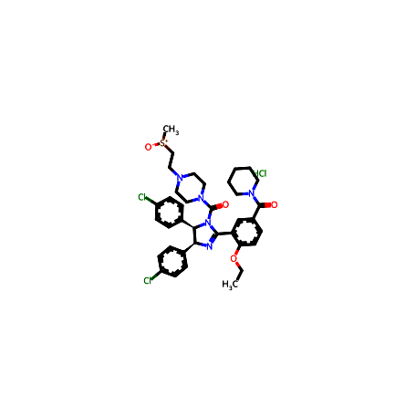 CCOc1ccc(C(=O)N2CCCCC2)cc1C1=N[C@@H](c2ccc(Cl)cc2)[C@@H](c2ccc(Cl)cc2)N1C(=O)N1CCN(CC[S+](C)[O-])CC1.Cl